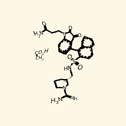 CC(=O)O.N=C(N)N1CCC[C@H](CNS(=O)(=O)c2ccc3ccccc3c2-c2cccc3c2C(=O)C(=O)N3CCC(N)=O)C1